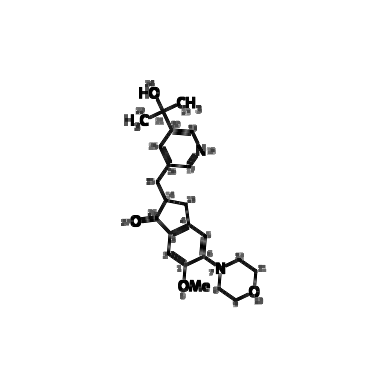 COc1cc2c(cc1N1CCOCC1)CC(Cc1cncc(C(C)(C)O)c1)C2=O